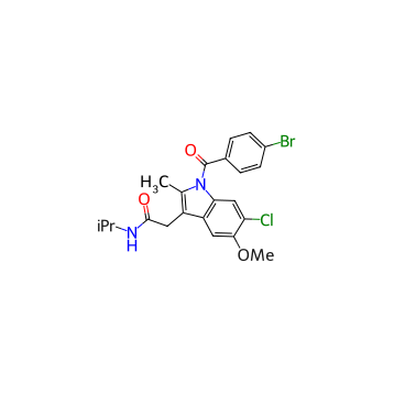 COc1cc2c(CC(=O)NC(C)C)c(C)n(C(=O)c3ccc(Br)cc3)c2cc1Cl